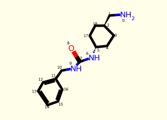 NC[C@H]1CC[C@H](NC(=O)NCc2ccccc2)CC1